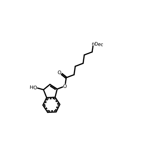 CCCCCCCCCCCCCCCC(=O)OC1=CC(O)c2ccccc21